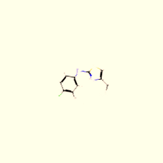 CC(=O)Cc1csc(Nc2ccc(Cl)c(C(F)(F)F)c2)n1